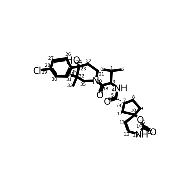 CC(C)C(NC(=O)[C@@H]1CCC2(CCNC(=O)O2)C1)C(=O)N1CCC(O)(c2ccc(Cl)cc2)C(C)(C)C1